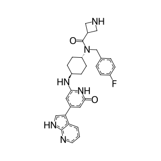 O=C(C1CNC1)N(Cc1ccc(F)cc1)[C@H]1CC[C@H](Nc2cc(-c3c[nH]c4ncccc34)cc(=O)[nH]2)CC1